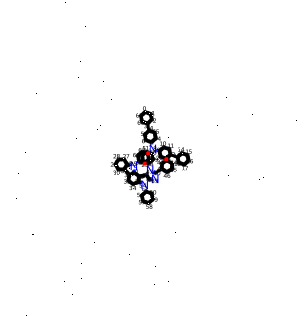 c1ccc(-c2ccc(N(c3ccc(-c4ccccc4)cc3)c3ccc(-n4c5ccccc5c5ccc6c(c7c(nc(-c8ccccc8)n7-c7ccccc7)n6-c6ccccc6)c54)cc3)cc2)cc1